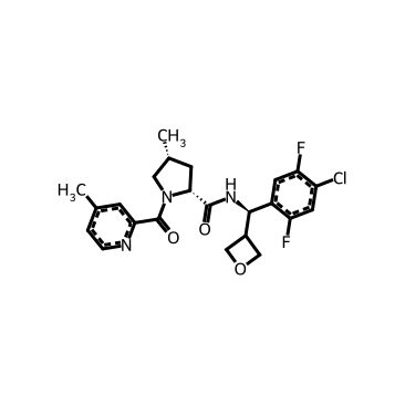 Cc1ccnc(C(=O)N2C[C@H](C)C[C@@H]2C(=O)N[C@@H](c2cc(F)c(Cl)cc2F)C2COC2)c1